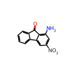 Nc1cc([N+](=O)[O-])cc2c1C(=O)c1ccccc1-2